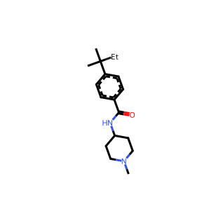 CCC(C)(C)c1ccc(C(=O)NC2CCN(C)CC2)cc1